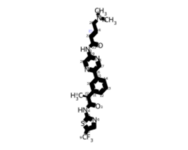 C[C@H](C(=O)Nc1ncc(C(F)(F)F)s1)c1cccc(-c2cnc(NC(=O)/C=C/CN(C)C)cn2)c1